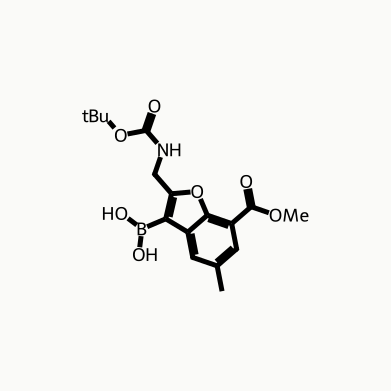 COC(=O)c1cc(C)cc2c(B(O)O)c(CNC(=O)OC(C)(C)C)oc12